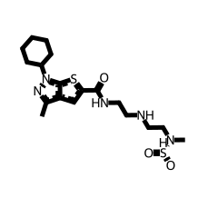 Cc1nn(C2CCCCC2)c2sc(C(=O)NCCNCCN(C)[SH](=O)=O)cc12